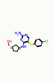 Nc1ncc(Sc2ccc(Cl)cc2)c(N[C@H]2CC[C@H](CO)C2)n1